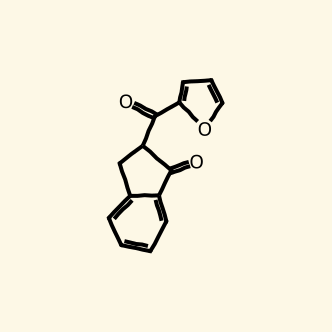 O=C(c1ccco1)C1Cc2ccccc2C1=O